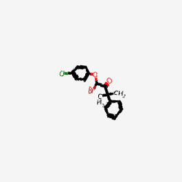 CC(C)(C(=O)C(Br)Oc1ccc(Cl)cc1)c1ccccc1